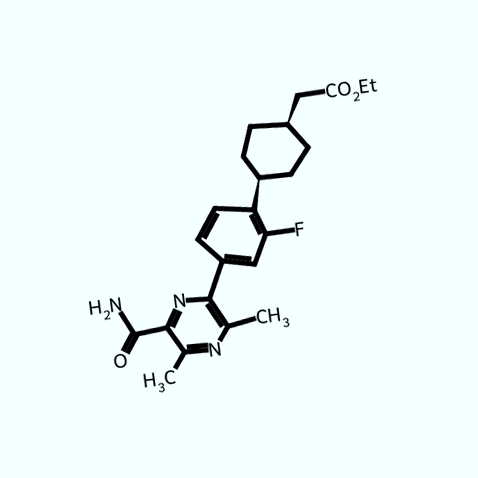 CCOC(=O)C[C@H]1CC[C@@H](c2ccc(-c3nc(C(N)=O)c(C)nc3C)cc2F)CC1